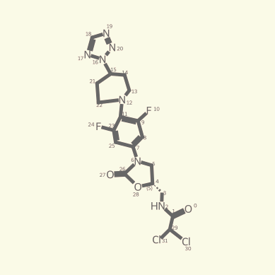 O=C(NC[C@H]1CN(c2cc(F)c(N3CCC(n4ncnn4)CC3)c(F)c2)C(=O)O1)C(Cl)Cl